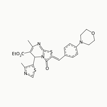 CCOC(=O)C1=C(C)N=c2s/c(=C\c3ccc(N4CCOCC4)cc3)c(=O)n2C1c1scnc1C